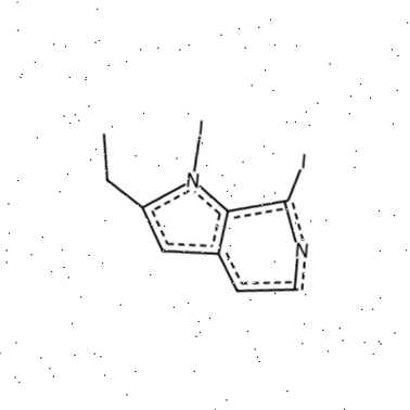 CCc1cc2ccnc(I)c2n1I